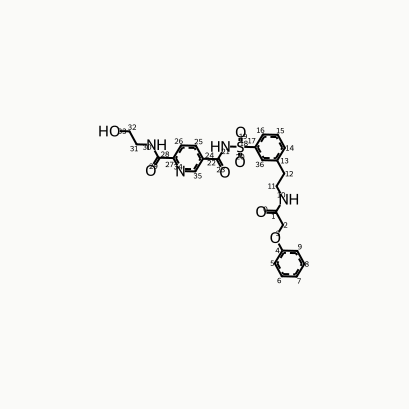 O=C(COc1ccccc1)NCCc1cccc(S(=O)(=O)NC(=O)c2ccc(C(=O)NCCO)nc2)c1